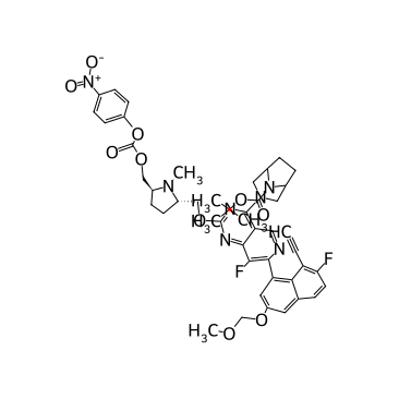 C#Cc1c(F)ccc2cc(OCOC)cc(-c3ncc4c(N5CC6CCC(C5)N6C(=O)OC(C)(C)C)nc(OC[C@@H]5CC[C@@H](COC(=O)Oc6ccc([N+](=O)[O-])cc6)N5C)nc4c3F)c12